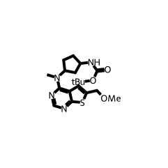 COCc1cc2c(N(C)C3CCC(NC(=O)OC(C)(C)C)C3)ncnc2s1